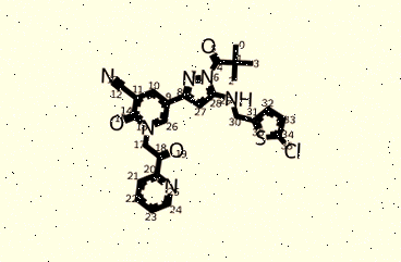 CC(C)(C)C(=O)n1nc(-c2cc(C#N)c(=O)n(CC(=O)c3ccccn3)c2)cc1NCc1ccc(Cl)s1